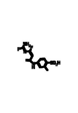 C=C(/C=C(F)\N=C(/N)F)Nc1ccc(S(=O)(=O)O)c(C)c1